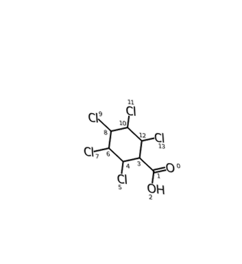 O=C(O)C1C(Cl)C(Cl)C(Cl)C(Cl)C1Cl